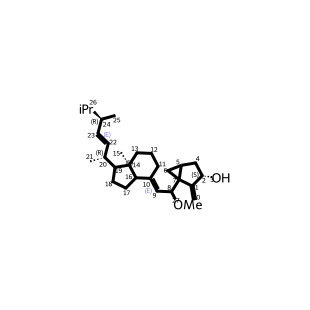 C=C1[C@@H](O)CC2CC12C(/C=C1\CCC[C@@]2(C)C1CCC2[C@H](C)/C=C/[C@H](C)C(C)C)OC